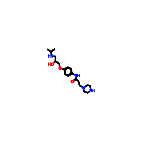 CC(C)NCC(O)COc1ccc(NC(=O)CCN2CCNCC2)cc1